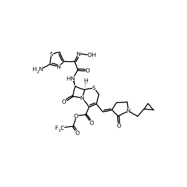 Nc1nc(/C(=N/O)C(=O)N[C@@H]2C(=O)N3C(C(=O)OC(=O)C(F)(F)F)=C(C=C4CCN(CC5CC5)C4=O)CS[C@H]23)cs1